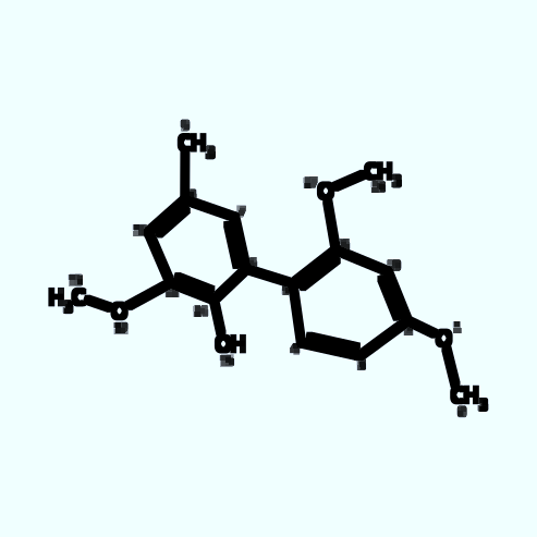 COc1ccc(-c2cc(C)cc(OC)c2O)c(OC)c1